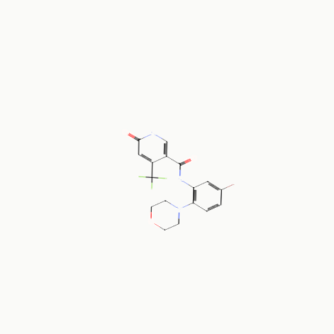 O=C(Nc1cc(Br)ccc1N1CCOCC1)c1c[nH]c(=O)cc1C(F)(F)F